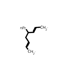 [CH2]/C=C/CC(/C=C/[CH2])CCC